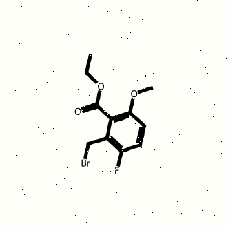 CCOC(=O)c1c(OC)ccc(F)c1CBr